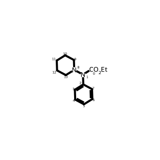 CCOC(=O)N(c1ccccc1)N1CCCCC1